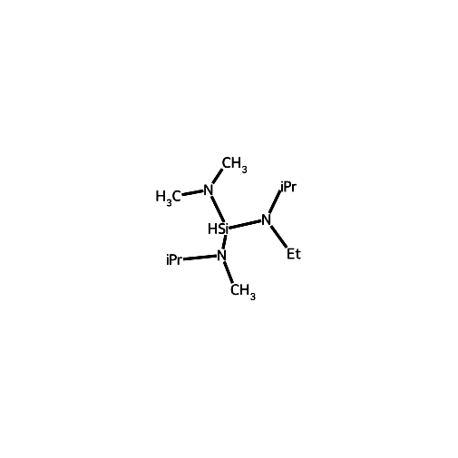 CCN(C(C)C)[SiH](N(C)C)N(C)C(C)C